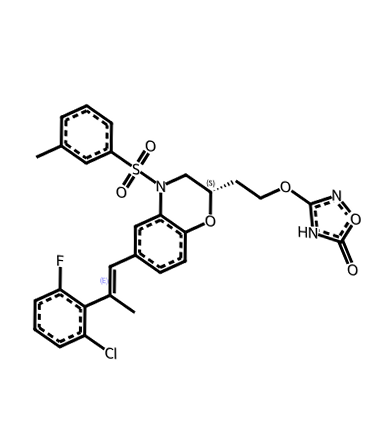 C/C(=C\c1ccc2c(c1)N(S(=O)(=O)c1cccc(C)c1)C[C@H](CCOc1noc(=O)[nH]1)O2)c1c(F)cccc1Cl